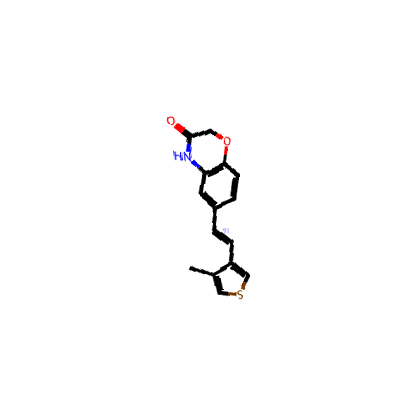 Cc1cscc1/C=C/c1ccc2c(c1)NC(=O)CO2